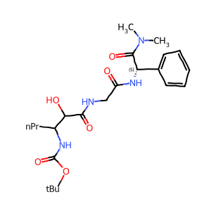 CCCC(NC(=O)OC(C)(C)C)C(O)C(=O)NCC(=O)N[C@H](C(=O)N(C)C)c1ccccc1